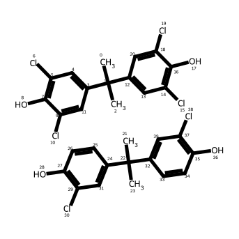 CC(C)(c1cc(Cl)c(O)c(Cl)c1)c1cc(Cl)c(O)c(Cl)c1.CC(C)(c1ccc(O)c(Cl)c1)c1ccc(O)c(Cl)c1